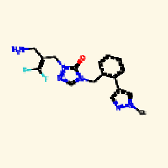 CCn1cc(-c2ccccc2Cn2cnn(CC(CN)=C(F)F)c2=O)cn1